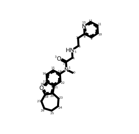 CN(C(=O)CNCCc1ccccn1)c1ccc2oc3c(c2c1)CCCCC3